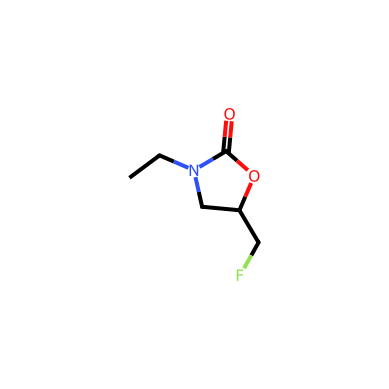 CCN1CC(CF)OC1=O